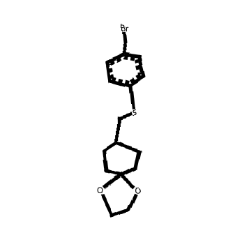 Brc1ccc(SCC2CCC3(CC2)OCCO3)cc1